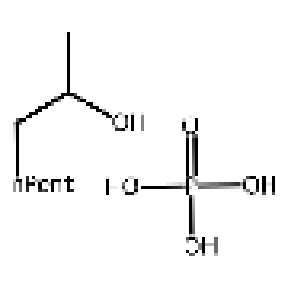 CCCCCCC(C)O.O=P(O)(O)O